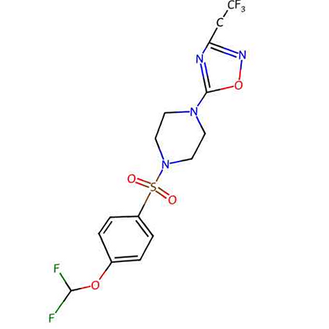 O=S(=O)(c1ccc(OC(F)F)cc1)N1CCN(c2nc(CC(F)(F)F)no2)CC1